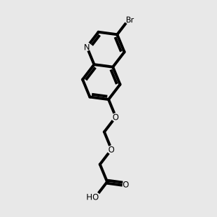 O=C(O)COCOc1ccc2ncc(Br)cc2c1